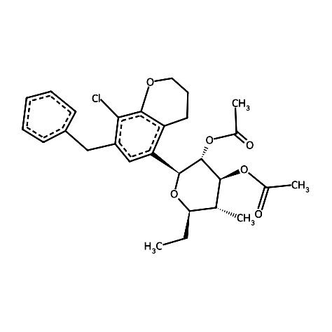 CC[C@H]1O[C@@H](c2cc(Cc3ccccc3)c(Cl)c3c2CCCO3)[C@H](OC(C)=O)[C@@H](OC(C)=O)[C@@H]1C